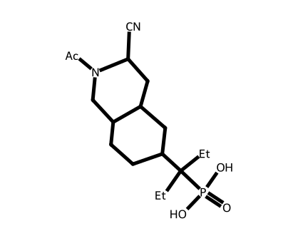 CCC(CC)(C1CCC2CN(C(C)=O)C(C#N)CC2C1)P(=O)(O)O